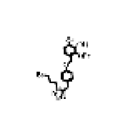 CCCc1c(COc2ccc(Cc3nnnn3CCCBr)cc2)ccc(C(C)=O)c1O